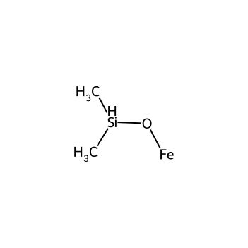 C[SiH](C)[O][Fe]